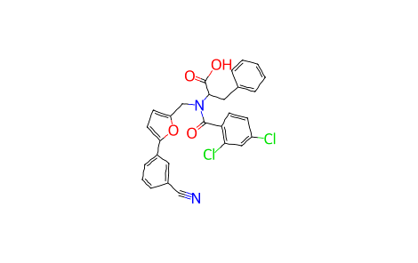 N#Cc1cccc(-c2ccc(CN(C(=O)c3ccc(Cl)cc3Cl)C(Cc3ccccc3)C(=O)O)o2)c1